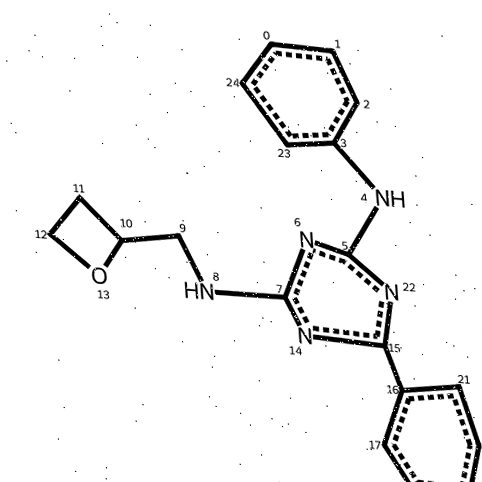 c1ccc(Nc2nc(NCC3CCO3)nc(-c3ccccc3)n2)cc1